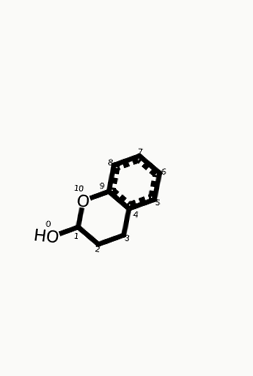 OC1CCc2ccc[c]c2O1